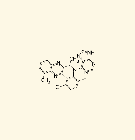 Cc1cccc2nc(C(C)Nc3ncnc4[nH]cnc34)c(-c3cc(F)ccc3Cl)nc12